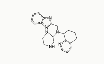 c1cnc2c(c1)CCCC2N(Cc1nc2ccccc2[nH]1)C1CCCNC1